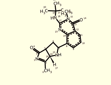 CC1=NC(=O)C2CC(c3cccc4c(=O)n(C)c(NC(C)(C)C)nc34)N[C@H]12